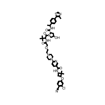 Cc1ncsc1-c1ccc(C(C)NC(=O)[C@@H]2C[C@@H](O)CN2C(=O)C(NC(=O)COCCN2CCN(c3ccc(C(=O)N[C@H]4C[C@@H](Oc5ccc(C#N)c(Cl)c5)C4(C)C)cn3)CC2)C(C)(C)C)cc1